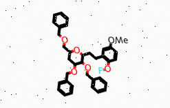 COc1ccc(OF)c(CCC2OC(COCc3ccccc3)CC(OCc3ccccc3)C2OCc2ccccc2)c1